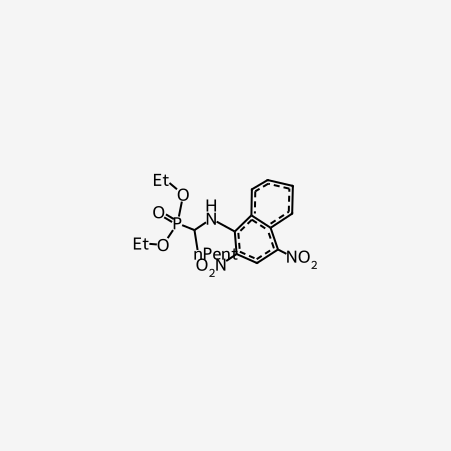 CCCCCC(Nc1c([N+](=O)[O-])cc([N+](=O)[O-])c2ccccc12)P(=O)(OCC)OCC